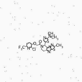 Cc1nn2c3c(nc2s1)CCN(C(=O)COc1ccc(C(F)(F)F)nc1Cl)C3c1cnc(N(C)C)s1